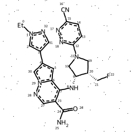 CCn1cc(-c2cc3c(N[C@@H]4CN(c5ccc(C#N)nn5)C[C@@H]4CF)c(C(N)=O)cnn3c2)cn1